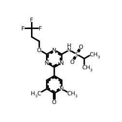 Cc1cc(-c2nc(NS(=O)(=O)C(C)C)nc(OCCC(F)(F)F)n2)cn(C)c1=O